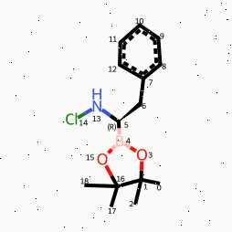 CC1(C)OB([C@H](Cc2ccccc2)NCl)OC1(C)C